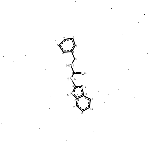 O=C(NCc1ccccc1)Nc1nc2ccccc2s1